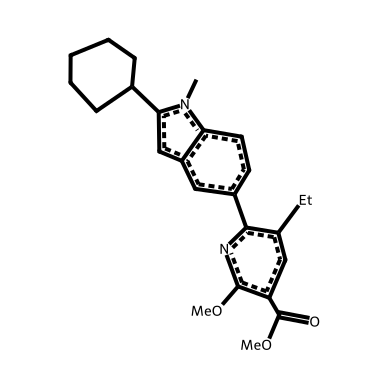 CCc1cc(C(=O)OC)c(OC)nc1-c1ccc2c(c1)cc(C1CCCCC1)n2C